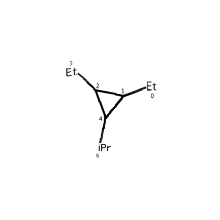 CCC1C(CC)C1C(C)C